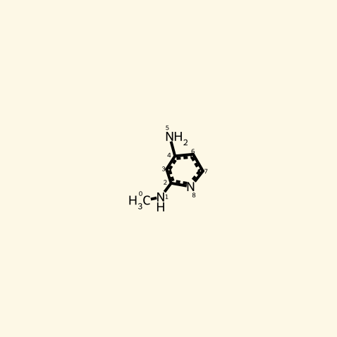 CNc1cc(N)ccn1